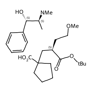 CN[C@@H](C)[C@@H](O)c1ccccc1.COCC[C@H](CC1(C(=O)O)CCCC1)C(=O)OC(C)(C)C